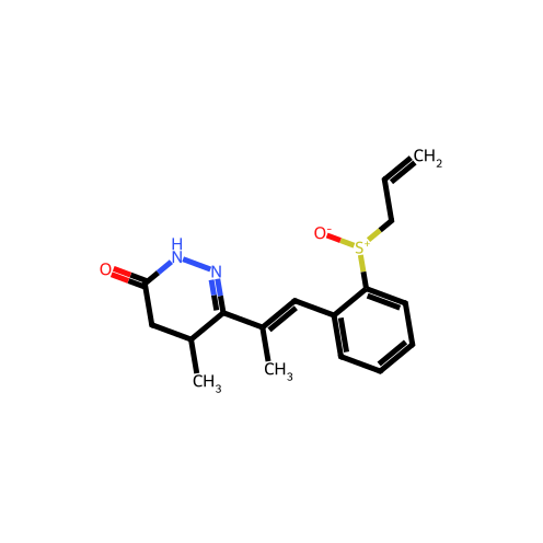 C=CC[S+]([O-])c1ccccc1C=C(C)C1=NNC(=O)CC1C